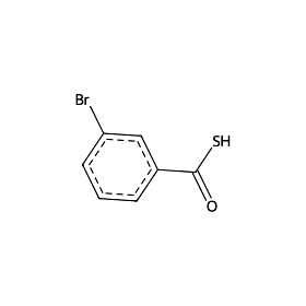 O=C(S)c1cccc(Br)c1